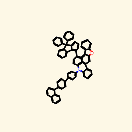 c1ccc(C2(c3ccccc3)c3ccccc3-c3c(-c4ccc(N(c5ccc(-c6ccc(-c7cccc8ccccc78)cc6)cc5)c5ccccc5-c5ccc6c(c5)oc5ccccc56)cc4)cccc32)cc1